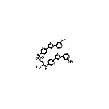 CCCc1cc(-n2cc(-c3ccc(NC(C)CCS(=O)(=O)Nc4ccc(-c5cnn(-c6ccnc(CCC)c6)c5)nc4)cn3)cn2)ccn1